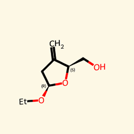 C=C1C[C@H](OCC)O[C@@H]1CO